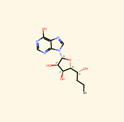 CC(C)C[CH][C@@H](O)[C@H]1O[C@@H](n2cnc3c(O)ncnc32)[C@H](O)[C@@H]1O